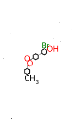 Cc1ccc(COC(=O)c2ccc(-c3ccc(O)c(Br)c3)cc2)cc1